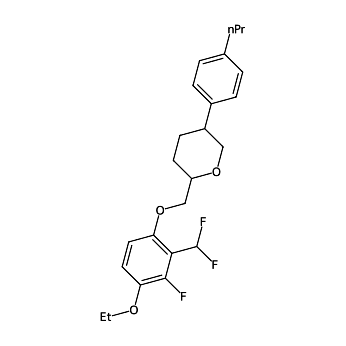 CCCc1ccc(C2CCC(COc3ccc(OCC)c(F)c3C(F)F)OC2)cc1